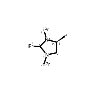 CCCN1C[C@H](C)N(C(C)C)C1C(C)C